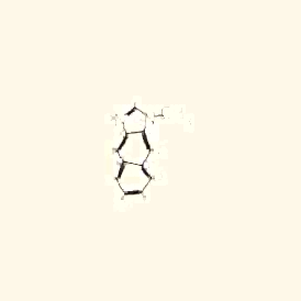 Cn1cnc2cc3ccccc3cc21